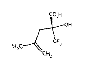 C=C(C)C[C@@](O)(C(=O)O)C(F)(F)F